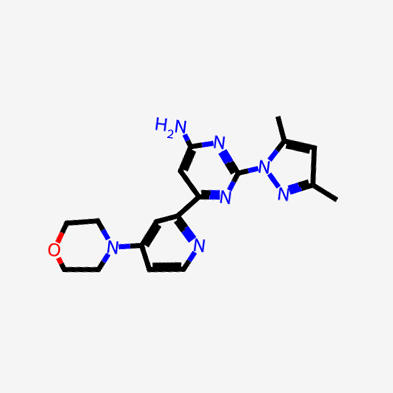 Cc1cc(C)n(-c2nc(N)cc(-c3cc(N4CCOCC4)ccn3)n2)n1